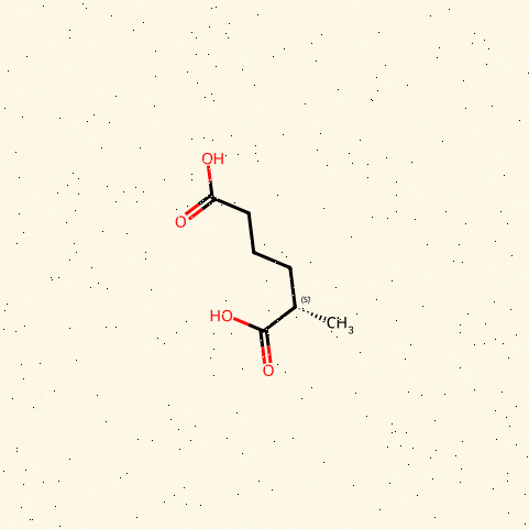 C[C@@H](CCCC(=O)O)C(=O)O